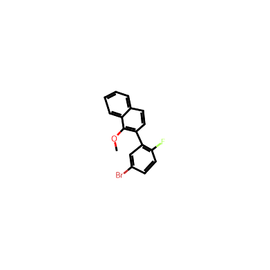 COc1c(-c2cc(Br)ccc2F)ccc2ccccc12